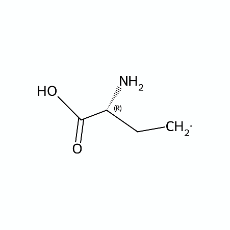 [CH2]C[C@@H](N)C(=O)O